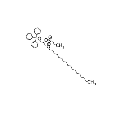 CCCCCCCCCCCCCCCCCCOCC(COC(c1ccccc1)(c1ccccc1)c1ccccc1)OS(=O)(=O)CCC